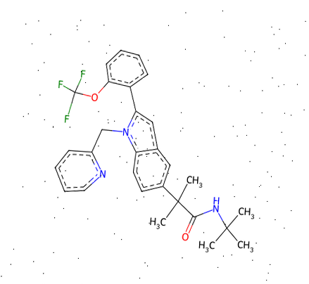 CC(C)(C)NC(=O)C(C)(C)c1ccc2c(c1)cc(-c1ccccc1OC(F)(F)F)n2Cc1ccccn1